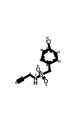 C#CCNS(=O)(=O)Cc1ccc(Cl)cc1